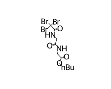 CCCCOC(=O)CNC(=O)CNC(=O)C(Br)(Br)Br